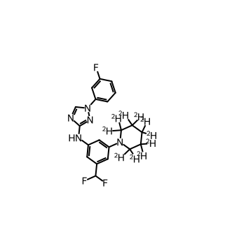 [2H]C1([2H])N(c2cc(Nc3ncn(-c4cccc(F)c4)n3)cc(C(F)F)c2)C([2H])([2H])C([2H])([2H])C([2H])([2H])C1([2H])[2H]